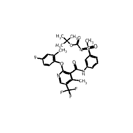 Cc1cc(F)ccc1Oc1ncc(C(F)(F)F)c(C)c1C(=O)Nc1cccc(S(C)(=O)=NC(=O)OC(C)(C)C)c1